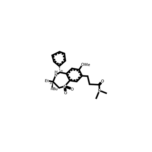 CCCC[C@]1(CC)CS(=O)(=O)c2cc(CCC(=O)N(C)C)c(OC)cc2[C@@H](c2ccccc2)N1